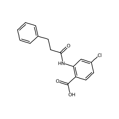 O=C(CCc1ccccc1)Nc1cc(Cl)ccc1C(=O)O